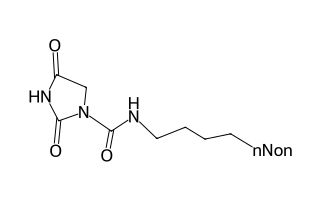 CCCCCCCCCCCCCNC(=O)N1CC(=O)NC1=O